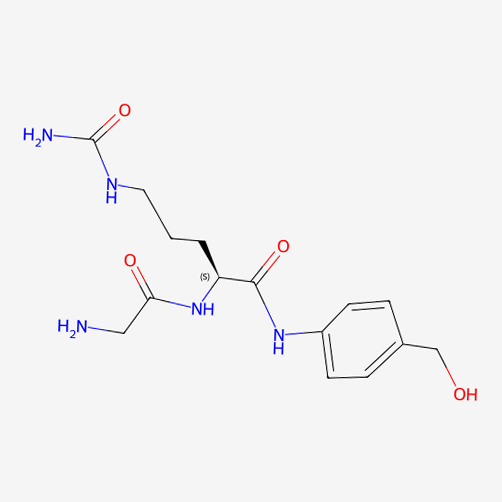 NCC(=O)N[C@@H](CCCNC(N)=O)C(=O)Nc1ccc(CO)cc1